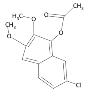 COc1cc2ccc(Cl)cc2c(OC(C)=O)c1OC